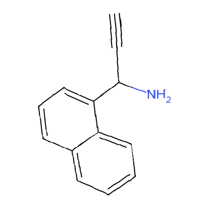 C#CC(N)c1cccc2ccccc12